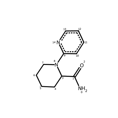 NC(=O)C1C[C]CCN1c1ccccn1